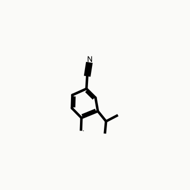 [CH2]c1ccc(C#N)cc1C(C)C